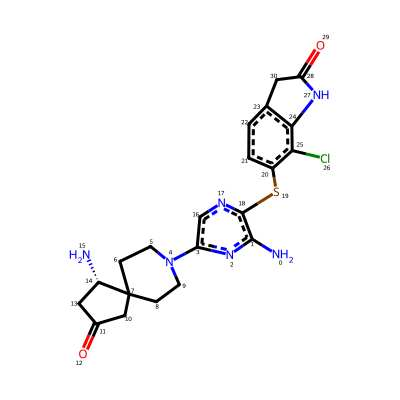 Nc1nc(N2CCC3(CC2)CC(=O)C[C@@H]3N)cnc1Sc1ccc2c(c1Cl)NC(=O)C2